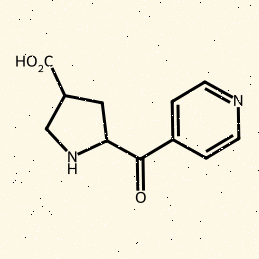 O=C(O)C1CNC(C(=O)c2ccncc2)C1